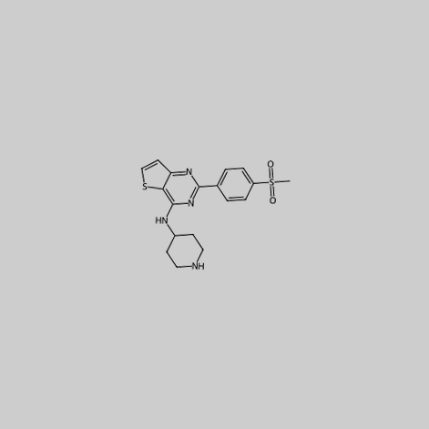 CS(=O)(=O)c1ccc(-c2nc(NC3CCNCC3)c3sccc3n2)cc1